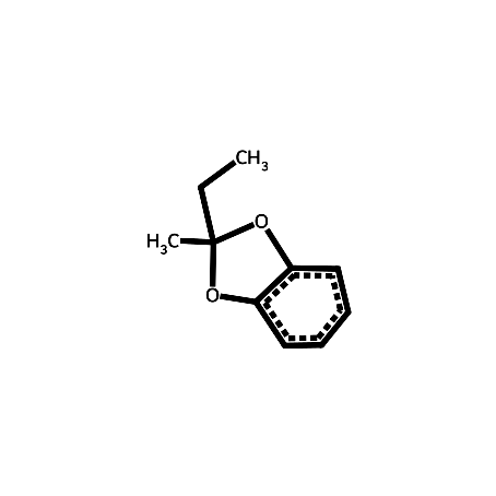 CCC1(C)Oc2ccccc2O1